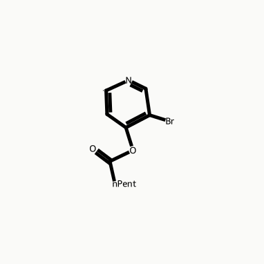 CCCCCC(=O)Oc1c[c]ncc1Br